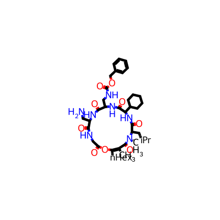 CCCCCC/C1=C(\C)C(=O)N(C)C(CC(C)C)C(=O)NC(C2CCCCC2)C(=O)NC(CNC(=O)OCc2ccccc2)C(=O)NC(CN)C(=O)NCC(=O)O1